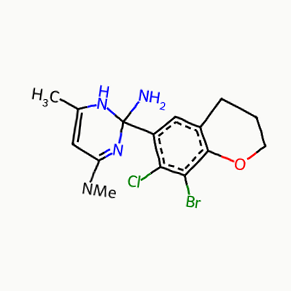 CNC1=NC(N)(c2cc3c(c(Br)c2Cl)OCCC3)NC(C)=C1